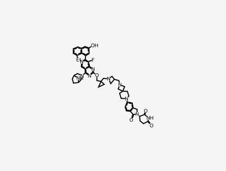 CCc1cccc2cc(O)cc(-c3ncc4c(N5CC6CCC(C5)N6)nc(OCC5(CN6CC(CN7CC8(CCN(c9ccc%10c(c9)CN([C@H]9CCC(=O)NC9=O)C%10=O)CC8)C7)C6)CC5)nc4c3F)c12